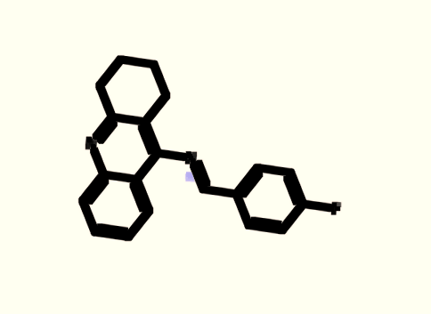 Fc1ccc(/C=N/c2c3c(nc4ccccc24)CCCC3)cc1